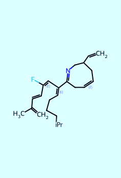 C=CC1C/C=C\CC(C(/C=C(/F)C=CC(=C)C)=C/CCCC(C)C)=NC1